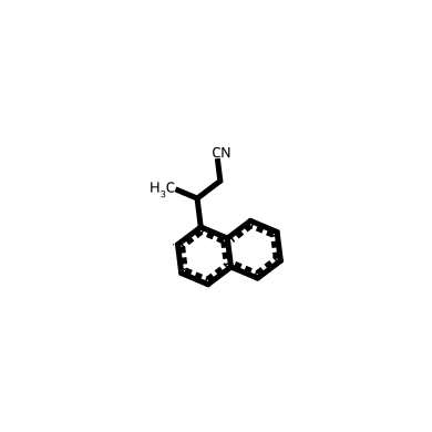 CC(CC#N)c1[c]ccc2ccccc12